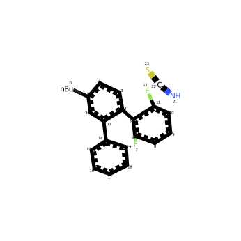 CCCCc1ccc(-c2c(F)cccc2F)c(-c2ccccc2)c1.N=C=S